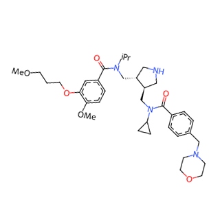 COCCCOc1cc(C(=O)N(C[C@@H]2CNC[C@H]2CN(C(=O)c2ccc(CN3CCOCC3)cc2)C2CC2)C(C)C)ccc1OC